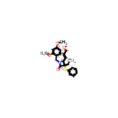 CCC1(Sc2ccccc2)C(=O)N(Cc2ccc(OC)cc2OC)C1C=CC=O